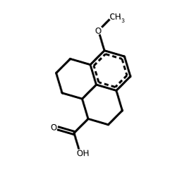 COc1ccc2c3c1CCCC3C(C(=O)O)CC2